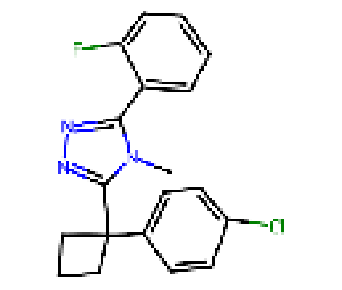 Cn1c(-c2ccccc2F)nnc1C1(c2ccc(Cl)cc2)CCC1